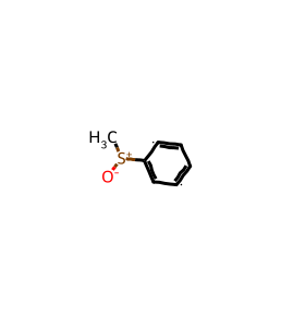 C[S+]([O-])c1[c]cc[c]c1